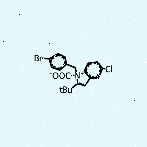 CC(C)(C)C1=Cc2cc(Cl)ccc2[N+]1(Cc1ccc(Br)cc1)C(=O)[O-]